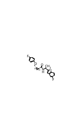 CC(NC(=O)[C@H]1C[C@@H]1COc1ccc(F)cc1)c1cc2cc(F)ccc2o1